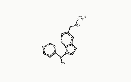 CCCN(c1ccncc1)n1ccc2cc(CNC(=O)O)ccc21